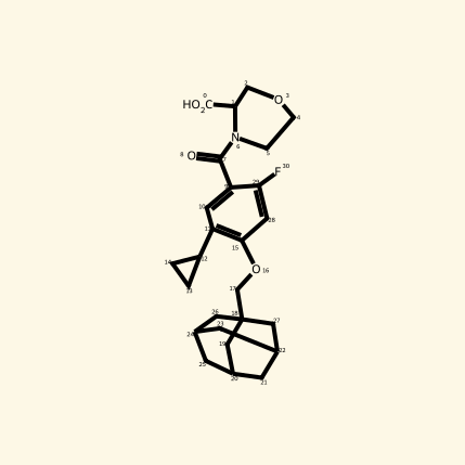 O=C(O)C1COCCN1C(=O)c1cc(C2CC2)c(OCC23CC4CC(CC(C4)C2)C3)cc1F